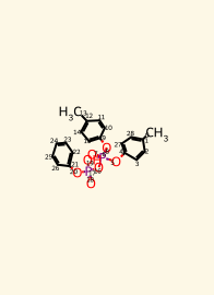 Cc1ccc(OP(=O)(Oc2ccc(C)cc2)OP(=O)(O)Oc2ccccc2)cc1